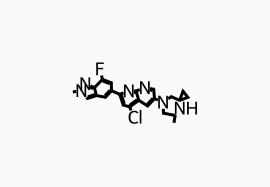 CC1CN(c2cnc3nc(-c4cc(F)c5nn(C)cc5c4)cc(Cl)c3c2)CC2(CC2)N1